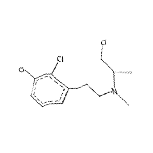 C[C@@H](CCl)N(C)CCc1cccc(Cl)c1Cl